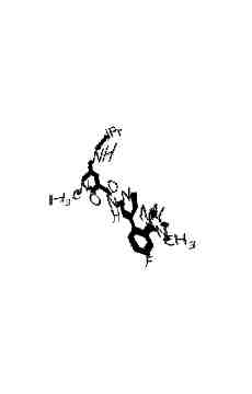 CC(C)CNCc1cc(C(=O)Nc2cc(-c3ccc(F)cc3-c3nncn3C)ccn2)c(=O)n(C)c1